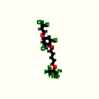 FC(F)(F)C(OCCCCCOc1c(Cl)cc(OCC=C(Cl)Cl)cc1Cl)C(F)(F)F